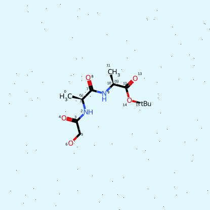 C[C@H](NC(=O)C[O])C(=O)N[C@@H](C)C(=O)OC(C)(C)C